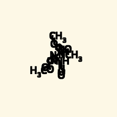 CCCOc1ccn2c(C(C)=O)nc(-c3nc4ccc(C(=O)OC)cn4c3NCCN3CCOCC3)c2c1